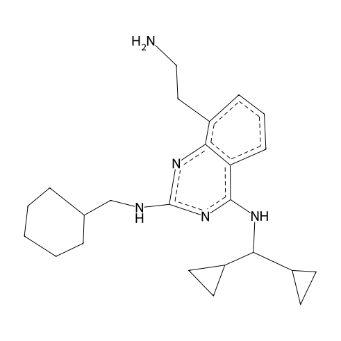 NCCc1cccc2c(NC(C3CC3)C3CC3)nc(NCC3CCCCC3)nc12